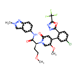 COCC[C@@H](C(=O)Nc1ccc2nn(C)cc2c1)n1cc(OC)c(-c2cc(Cl)ccc2-c2nnc(C(F)(F)F)o2)cc1=O